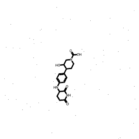 O=C1CCC(Nc2ccc(C3CCN(C(=O)O)CC3O)cc2)C(=O)N1